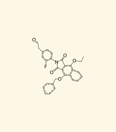 CCOc1c2c(c(OCc3ccccc3)c3ccccc13)C(=O)N(c1ccc(CC=O)cc1F)C2=O